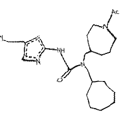 CC(=O)N1CCC(N(C(=O)Nc2ncc(Cl)s2)C2CCCCCC2)CC1